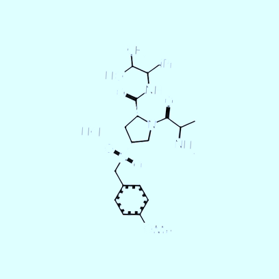 COc1ccc(CS(=O)(=O)[C@@H]2C[C@@H](C(=O)NC(C(C)C)C(O)C(F)(F)F)N(C(=O)C(C)N)C2)cc1.Cl